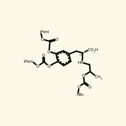 CCCCOC(=O)OC(C)CN[C@@H](Cc1ccc(OC(=O)OC(C)CCC)c(OC(=O)OC(C)CCC)c1)C(=O)O